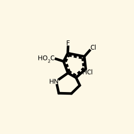 Cl.O=C(O)c1c(F)c(Cl)cc2c1NCCC2